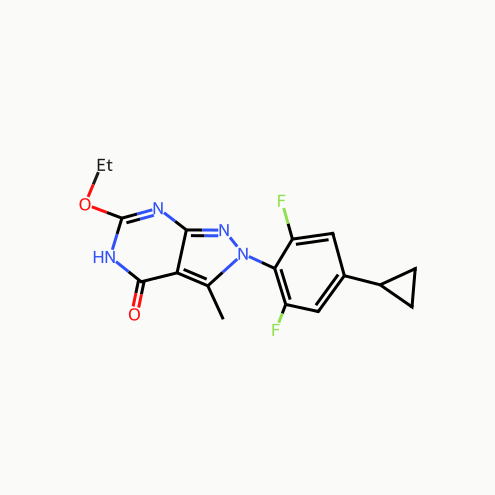 CCOc1nc2nn(-c3c(F)cc(C4CC4)cc3F)c(C)c2c(=O)[nH]1